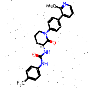 COc1ncccc1-c1ccc(N2CCC[C@@H](NC(=O)Nc3ccc(C(F)(F)F)cc3)C2=O)cc1